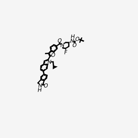 Cc1c(-c2cc3ccc(-c4ccc5c(c4)CNC5=O)cc3n2CC2CC2)oc2cc(C(=O)N3C[C@H](F)C[C@@H](NC(=O)OC(C)(C)C)C3)ccc12